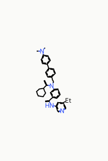 C=C(Nc1cncc(CC)c1)c1cccc(N(Cc2ccc(-c3ccc(N(C)C)cc3)cc2)C(=C)C2CCCCC2)c1